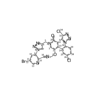 COc1cn(Cc2cn(-c3cc(Br)cnc3C#N)nn2)c(=O)cc1-c1cc(Cl)ccc1-n1cc(Cl)nn1